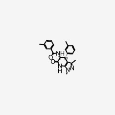 Cc1cccc(C(=O)N[C@@H]2C(=O)Nc3c(c(C)nn3C)[C@H]2c2cccc(C)c2)c1